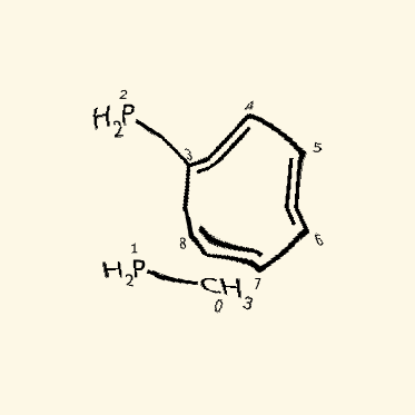 CP.Pc1ccccc1